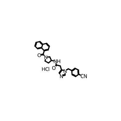 Cl.N#Cc1ccc(Cn2cncc2CC(=O)NC2CCN(C(=O)c3cccc4ccccc34)C2)cc1